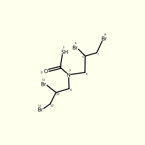 O=C(S)N(CC(Br)CBr)CC(Br)CBr